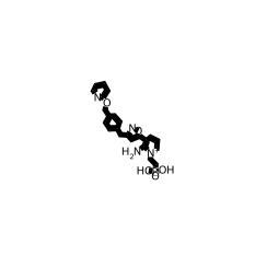 Nc1c(-c2cc(Cc3ccc(COc4ccccn4)cc3)no2)ccc[n+]1CCP(=O)(O)O